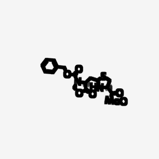 COC(=O)[C@@H]1CSC(C[C@H]2C(=O)OCN2C(=O)OCc2ccccc2)N1